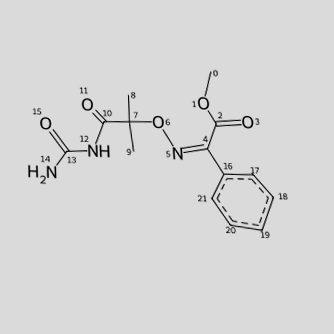 COC(=O)C(=NOC(C)(C)C(=O)NC(N)=O)c1ccccc1